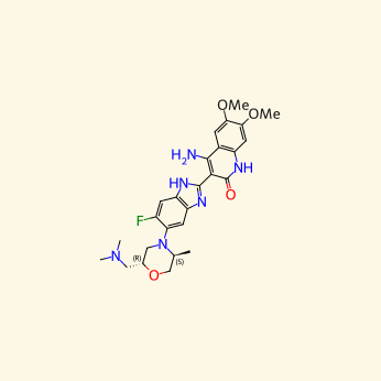 COc1cc2[nH]c(=O)c(-c3nc4cc(N5C[C@@H](CN(C)C)OC[C@@H]5C)c(F)cc4[nH]3)c(N)c2cc1OC